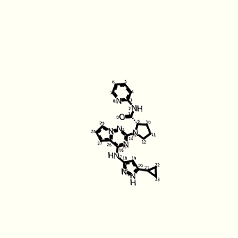 O=C(Nc1ccccn1)[C@@H]1CCCN1c1nc(Nc2cc(C3CC3)[nH]n2)c2cccn2n1